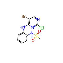 CS(=O)(=O)Nc1ccccc1Nc1nc(Cl)ncc1Br